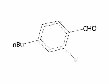 CCCCc1ccc(C=O)c(F)c1